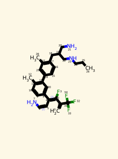 C=C(/C(F)=C(\C=C/N)c1ccc(C)c(-c2ccc(CC(CN)CNCCC)c(C)c2)c1)C(F)(F)F